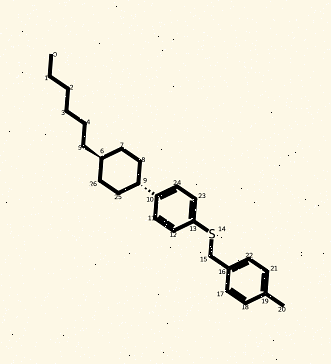 CCCCCC[C@H]1CC[C@H](c2ccc(SCc3ccc(C)cc3)cc2)CC1